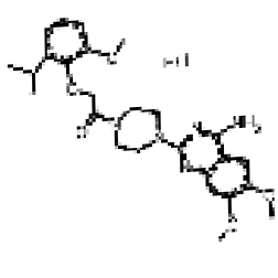 COc1cc2nc(N3CCN(C(=O)COc4c(OC)cccc4C(C)C)CC3)nc(N)c2cc1OC.Cl